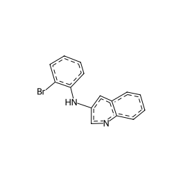 Brc1ccccc1Nc1cnc2ccccc2c1